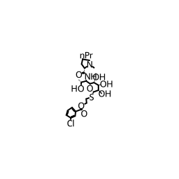 CCC[C@@H]1C[C@@H](C(=O)N[C@@H]([C@H]2O[C@H](SCCOC(=O)c3cccc(Cl)c3)[C@H](O)[C@@H](O)[C@H]2O)[C@@H](C)O)N(C)C1